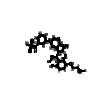 COCCOc1ccc(F)c(C(OC)c2c[nH]c3ncc(-c4cccc(NS(C)(=O)=O)c4)cc23)c1F